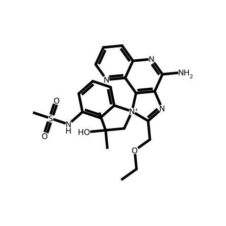 CCOCC1=Nc2c(N)nc3cccnc3c2[N+]1(CC(C)(C)O)c1cccc(NS(C)(=O)=O)c1